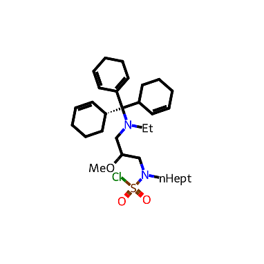 CCCCCCCN(CC(CN(CC)C(C1=CCCC=C1)(C1C=CCCC1)[C@H]1C=CCCC1)OC)S(=O)(=O)Cl